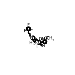 COc1ccc2ncc(CF)c(C(O)CCC3(C(=O)O)CCN(CCCc4c(F)cc(F)cc4F)CC3)c2c1